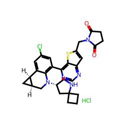 Cl.O=C1CCC(=O)N1Cc1cc2ncnc(-c3cc(Cl)cc4c3N([C@@H]3CNC5(CCC5)C3)C[C@H]3C[C@@H]43)c2s1